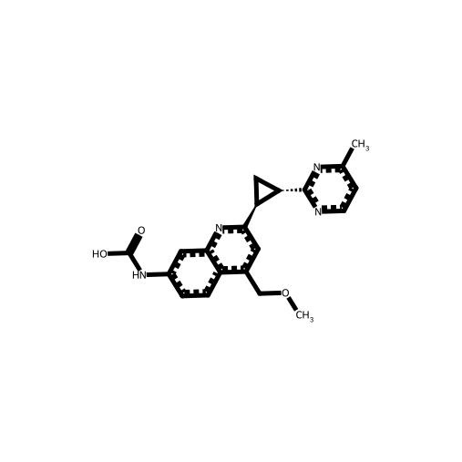 COCc1cc([C@H]2C[C@@H]2c2nccc(C)n2)nc2cc(NC(=O)O)ccc12